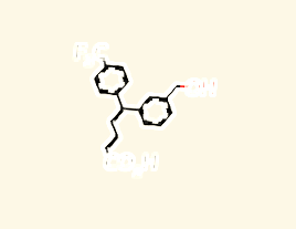 O=C(O)C=CC=C(c1ccc(C(F)(F)F)cc1)c1cccc(CO)c1